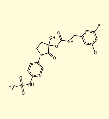 CS(=O)(=O)Nc1ccc(N2CCC(O)(OC(=O)NCc3cc(F)cc(Cl)c3)C2=O)cn1